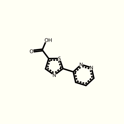 O=C(O)c1cnc(-c2cccnn2)s1